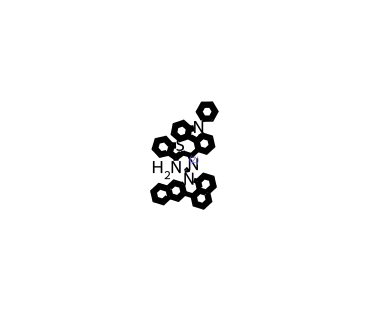 Nc1c(/C(=N\CN2c3cc4ccccc4cc3-c3cccc4cccc2c34)c2cccc3c2c2ccccc2n3-c2ccccc2)sc2ccccc12